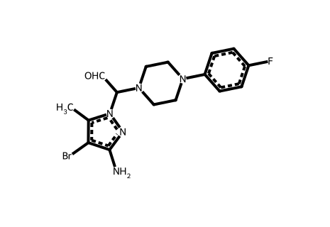 Cc1c(Br)c(N)nn1C(C=O)N1CCN(c2ccc(F)cc2)CC1